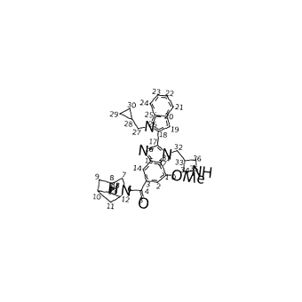 COc1cc(C(=O)N2CC3CC4CC2[C@H]43)cc2nc(-c3cc4ccccc4n3CC3CC3)n(CC3CNC3)c12